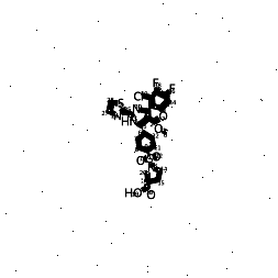 COC(=O)C1=C([C@H]2CC[C@H](S(=O)(=O)N3CCC(C(=O)O)C3)CC2)NC(c2nccs2)=N[C@H]1c1ccc(F)c(F)c1Cl